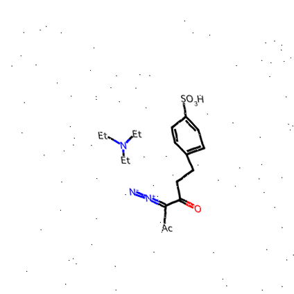 CC(=O)C(=[N+]=[N-])C(=O)CCc1ccc(S(=O)(=O)O)cc1.CCN(CC)CC